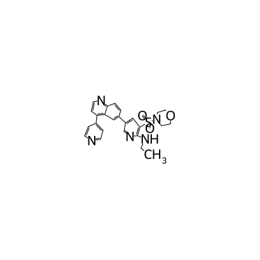 CCNc1ncc(-c2ccc3nccc(-c4ccncc4)c3c2)cc1S(=O)(=O)N1CCOCC1